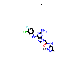 CCn1nc(C)cc1NC(=O)Cn1cnc2c(Nc3ccc(F)c(Cl)c3)nc(N)nc21